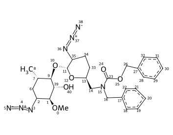 CO[C@H]1C(N=[N+]=[N-])C[C@H](C)[C@@H](O[C@H]2O[C@H](CN(Cc3ccccc3)C(=O)OCc3ccccc3)CCC2N=[N+]=[N-])[C@@H]1O